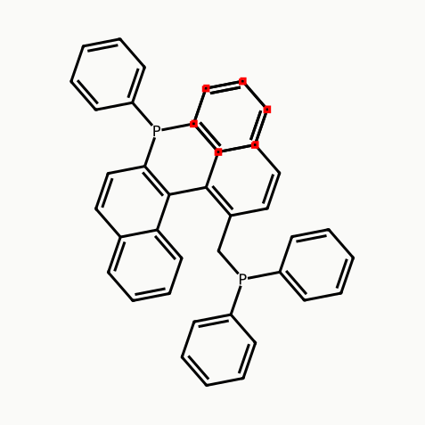 c1ccc(P(Cc2ccc3ccccc3c2-c2c(P(c3ccccc3)c3ccccc3)ccc3ccccc23)c2ccccc2)cc1